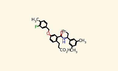 Cc1cc(C)cc(C(CC(C)C)NC(=O)c2cc(OCc3ccc(C)c(F)c3)ccc2CCC(=O)O)c1